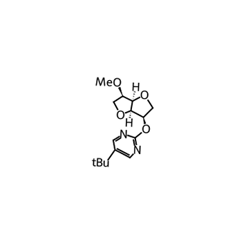 CO[C@@H]1CO[C@H]2[C@@H]1OC[C@H]2Oc1ncc(C(C)(C)C)cn1